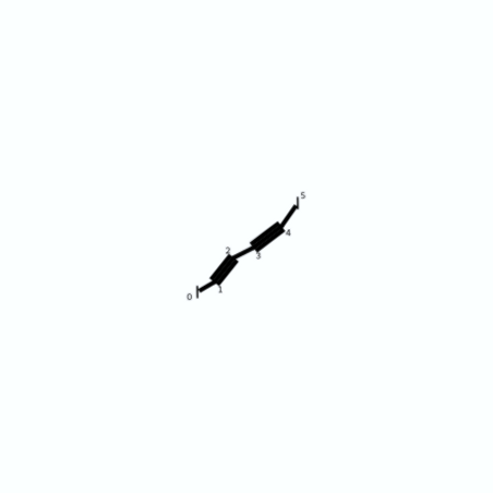 IC#CC#CI